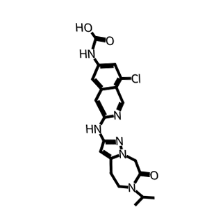 CC(C)N1CCc2cc(Nc3cc4cc(NC(=O)O)cc(Cl)c4cn3)nn2CC1=O